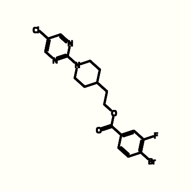 O=C(OCCC1CCN(c2ncc(Cl)cn2)CC1)c1ccc(Br)c(F)c1